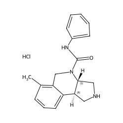 Cc1cccc2c1CN(C(=O)Nc1ccccc1)[C@@H]1CNC[C@@H]21.Cl